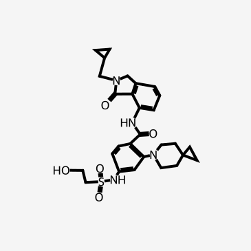 O=C(Nc1cccc2c1C(=O)N(CC1CC1)C2)c1ccc(NS(=O)(=O)CCO)cc1N1CCC2(CC1)CC2